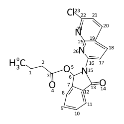 CCCC(=O)OC1c2ccccc2C(=O)N1c1ccc2ccc(Cl)nc2n1